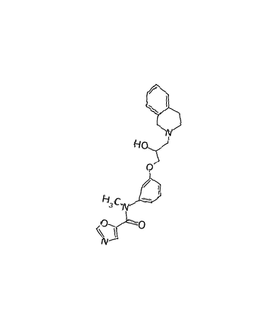 CN(C(=O)c1cnco1)c1cccc(OCC(O)CN2CCc3ccccc3C2)c1